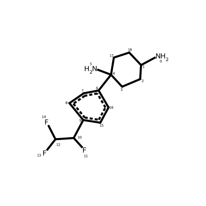 NC1CCC(N)(c2ccc(C(F)C(F)F)cc2)CC1